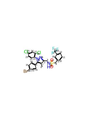 Cc1c(CNS(=O)(=O)Cc2cccc(C(F)(F)F)c2)nn(-c2ccc(Cl)cc2Cl)c1-c1ccc(Br)cc1